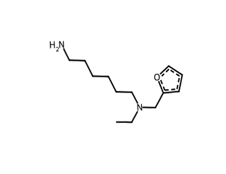 CCN(CCCCCCN)Cc1ccco1